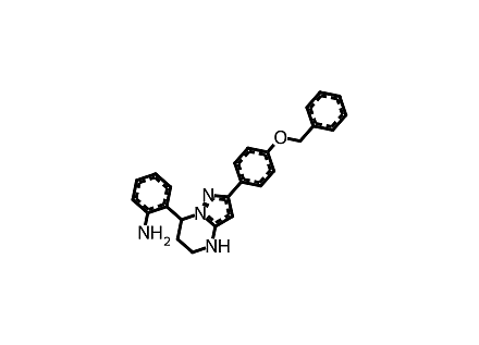 Nc1ccccc1C1CCNc2cc(-c3ccc(OCc4ccccc4)cc3)nn21